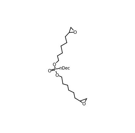 CCCCCCCCCCP(=O)(OCCCCCCC1CO1)OCCCCCCC1CO1